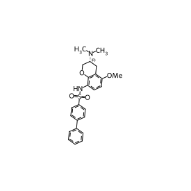 COc1ccc(NS(=O)(=O)c2ccc(-c3ccccc3)cc2)c2c1C[C@@H](N(C)C)CO2